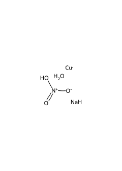 O.O=[N+]([O-])O.[Cu].[NaH]